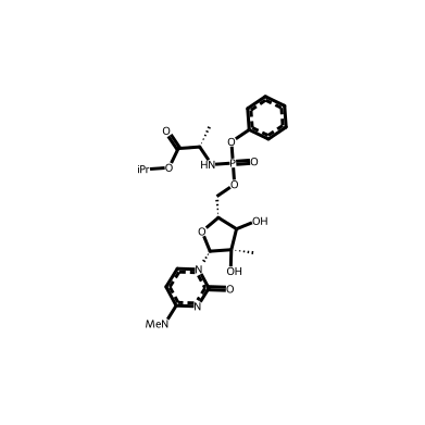 CNc1ccn([C@@H]2O[C@H](COP(=O)(N[C@@H](C)C(=O)OC(C)C)Oc3ccccc3)C(O)[C@@]2(C)O)c(=O)n1